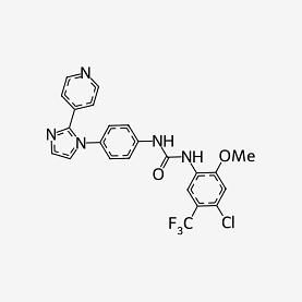 COc1cc(Cl)c(C(F)(F)F)cc1NC(=O)Nc1ccc(-n2ccnc2-c2ccncc2)cc1